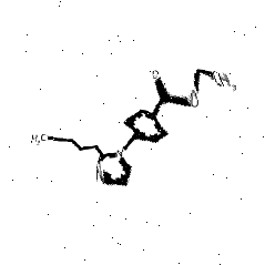 CCCCc1nccn1-c1ccc(C(=O)OCC)cc1